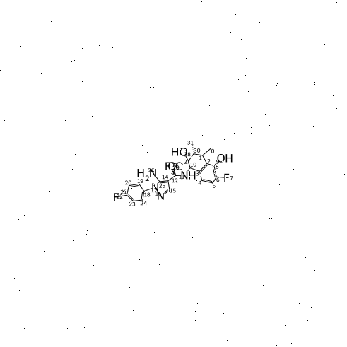 CC1c2c(ccc(F)c2O)C(NC(=O)c2cnn(-c3ccc(F)cc3)c2N)[C@](O)(C(F)(F)F)[C@@H]1C